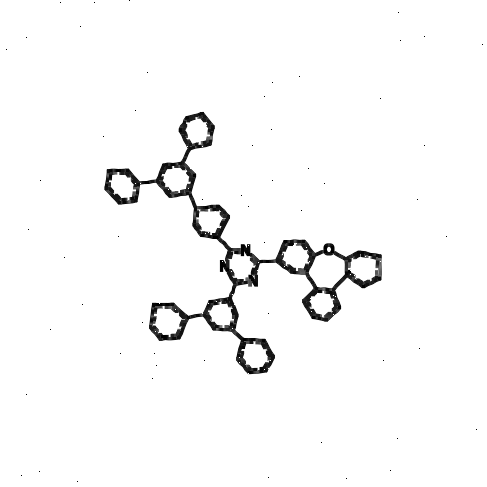 c1ccc(-c2cc(-c3ccccc3)cc(-c3ccc(-c4nc(-c5cc(-c6ccccc6)cc(-c6ccccc6)c5)nc(-c5ccc6c(c5)-c5ccccc5-c5ccccc5O6)n4)cc3)c2)cc1